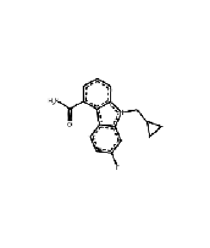 NC(=O)c1cccc2c1c1[c]cc(F)cc1n2CC1CC1